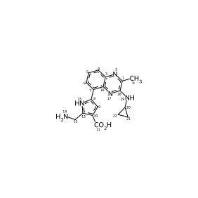 Cc1nc2cccc(-c3cc(C(=O)O)c(CN)[nH]3)c2nc1NC1CC1